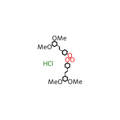 COc1cc(C=Cc2ccc(OC(=O)Oc3ccc(C=Cc4cc(OC)cc(OC)c4)cc3)cc2)cc(OC)c1.Cl